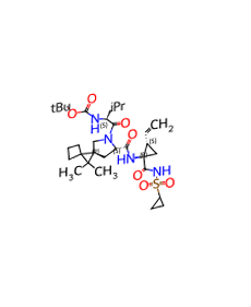 C=C[C@@H]1C[C@]1(NC(=O)[C@@H]1C[C@@]2(CN1C(=O)[C@@H](NC(=O)OC(C)(C)C)C(C)C)C(C)(C)C21CCC1)C(=O)NS(=O)(=O)C1CC1